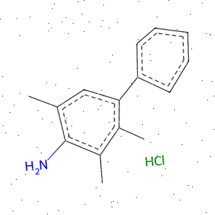 Cc1cc(-c2ccccc2)c(C)c(C)c1N.Cl